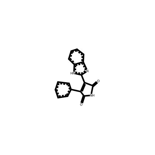 O=C1NC(=O)C(c2nc3ccccc3[nH]2)=C1c1ccccc1